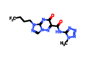 Cn1nnnc1NC(=O)c1nn2cnn(CCCC(F)(F)F)c2nc1=O